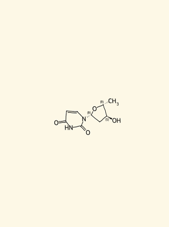 C[C@H]1O[C@@H](n2ccc(=O)[nH]c2=O)C[C@@H]1O